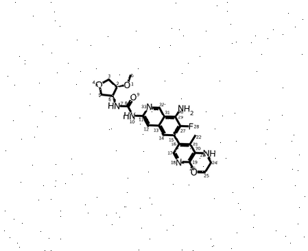 CO[C@@H]1COC[C@@H]1NC(=O)Nc1cc2cc(-c3cnc4c(c3C)NCCO4)c(F)c(N)c2cn1